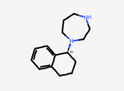 c1ccc2c(c1)CCC[C@@H]2N1CCCNCC1